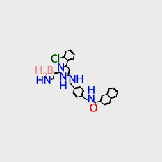 B/C(C=N)=C1\N=C(c2ccccc2Cl)C=C(NCc2ccc(CNC(=O)c3ccc4ccccc4c3)cc2)N1